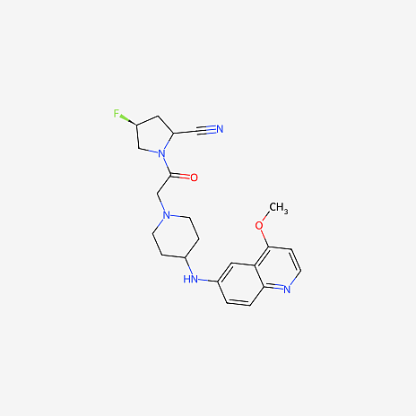 COc1ccnc2ccc(NC3CCN(CC(=O)N4C[C@@H](F)CC4C#N)CC3)cc12